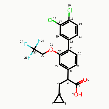 O=C(O)C(CC1CC1)c1ccc(-c2ccc(Cl)c(Cl)c2)c(OCC(F)(F)F)c1